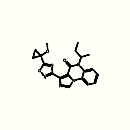 CCC(C)n1c(=O)c2c(-c3noc(C4(OC)CC4)n3)ncn2c2ccccc21